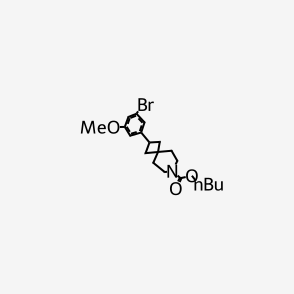 CCCCOC(=O)N1CCC2(CC1)CC(c1cc(Br)cc(OC)c1)C2